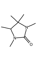 CC1N(C)C(=O)N(C)C1(C)C